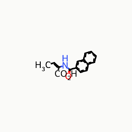 C/C=C(/NC(=O)c1ccc2ccccc2c1)C(=O)O